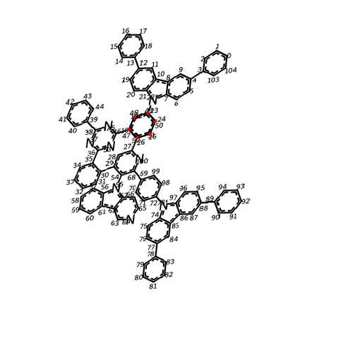 c1ccc(-c2ccc3c(c2)c2cc(-c4ccccc4)ccc2n3-c2ccc(-c3cc(-c4ccccc4-c4nc(-c5ccccc5)nc(-c5ccccc5)n4)c(-n4c5ccccc5c5cnccc54)c(-c4ccc(-n5c6ccc(-c7ccccc7)cc6c6cc(-c7ccccc7)ccc65)cc4)n3)cc2)cc1